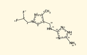 Cc1nn(CC(F)F)cc1CNc1n[nH]c(N)n1